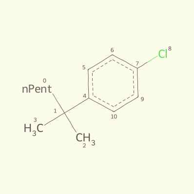 CCCCCC(C)(C)c1ccc(Cl)cc1